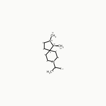 CC(I)N1CCC2(CC1)CCN(C)[C@H]2C